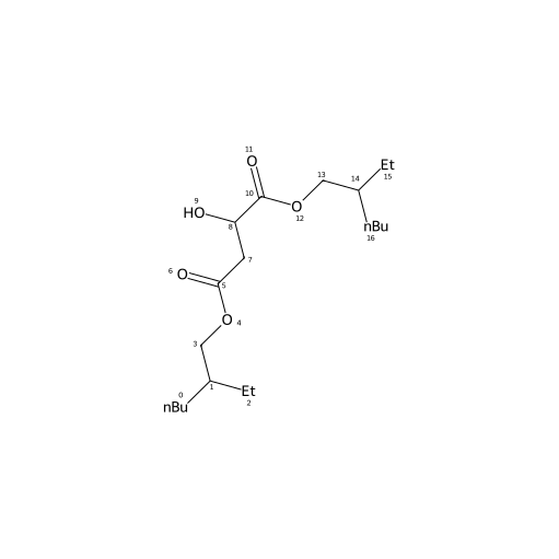 CCCCC(CC)COC(=O)CC(O)C(=O)OCC(CC)CCCC